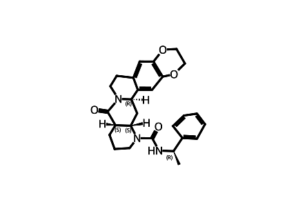 C[C@@H](NC(=O)N1CCC[C@@H]2C(=O)N3CCc4cc5c(cc4[C@H]3C[C@@H]21)OCCO5)c1ccccc1